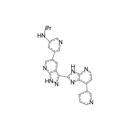 CC(C)Nc1cncc(-c2cnc3[nH]nc(-c4nc5c(-c6cccnc6)ccnc5[nH]4)c3c2)c1